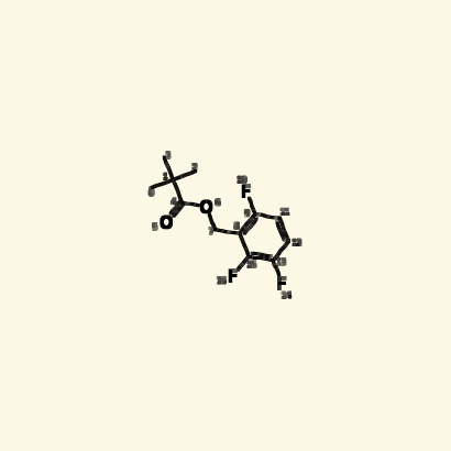 CC(C)(C)C(=O)OCc1c(F)ccc(F)c1F